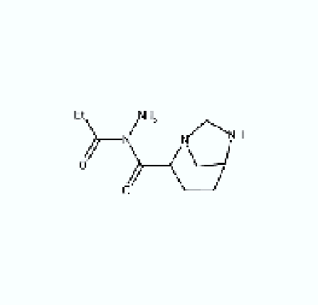 CCC(=O)N(N)C(=O)C1CCC2CN1CN2